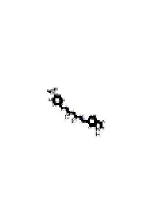 CN(C)c1ccc(/C=C/C(=O)CC(=O)/C=C/c2ccc3cc[nH]c3c2)cc1